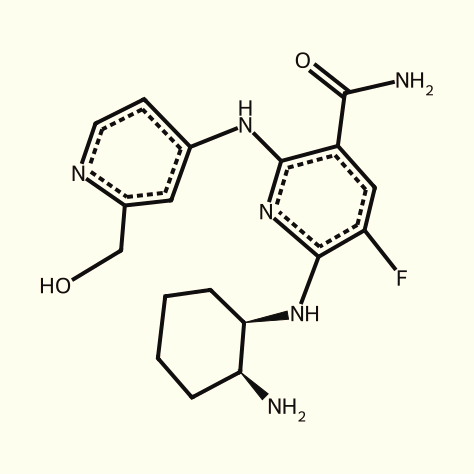 NC(=O)c1cc(F)c(N[C@@H]2CCCC[C@@H]2N)nc1Nc1ccnc(CO)c1